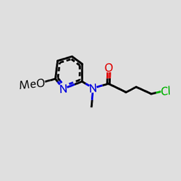 COc1cccc(N(C)C(=O)CCCCl)n1